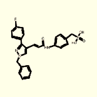 O=C(C=Cc1cn(Cc2ccccc2)nc1-c1ccc(F)cc1)Nc1ccc(CP(=O)(O)O)cc1